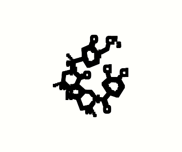 C[C@@H]1Cc2nn3c(c2CN1C(=O)c1ccc(Cl)c(Cl)c1)C(=O)N([C@H](C)c1ccn(CC(F)(F)F)c(=O)c1)C[C@H]3C